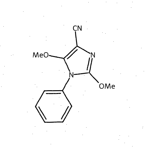 COc1nc(C#N)c(OC)n1-c1ccccc1